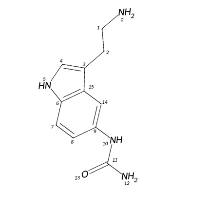 NCCc1c[nH]c2ccc(NC(N)=O)cc12